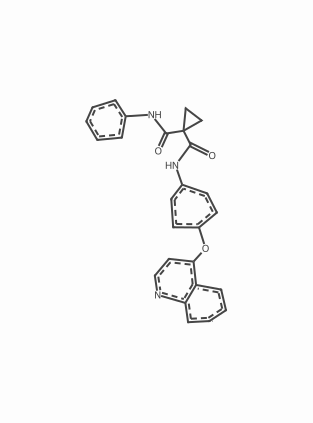 O=C(Nc1ccccc1)C1(C(=O)Nc2ccc(Oc3ccnc4c[c]ccc34)cc2)CC1